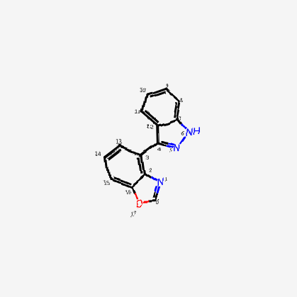 [c]1nc2c(-c3n[nH]c4ccccc34)cccc2o1